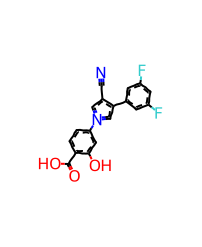 N#Cc1cn(-c2ccc(C(=O)O)c(O)c2)cc1-c1cc(F)cc(F)c1